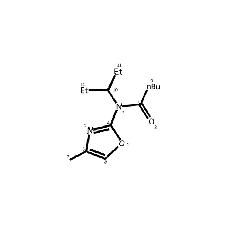 CCCCC(=O)N(c1nc(C)co1)C(CC)CC